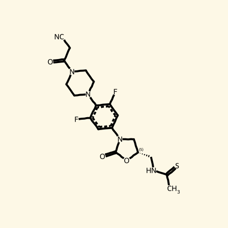 CC(=S)NC[C@H]1CN(c2cc(F)c(N3CCN(C(=O)CC#N)CC3)c(F)c2)C(=O)O1